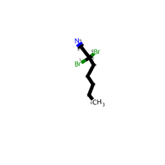 CCCCCC(Br)(Br)C#N